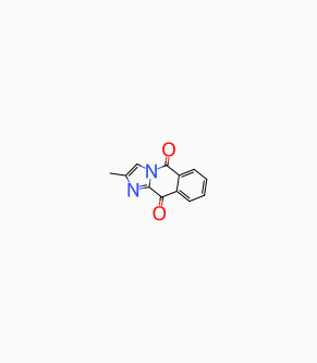 Cc1cn2c(n1)C(=O)c1ccccc1C2=O